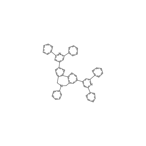 c1ccc(-c2cc(-c3ccc4c(c3)CN(c3ccccc3)Cc3ccc(-c5cc(-c6ccccc6)nc(-c6ccccc6)c5)cc3-4)cc(-c3ccccc3)n2)cc1